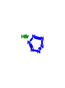 Br.n1nnnnn1